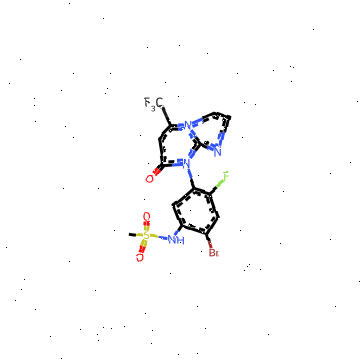 CS(=O)(=O)Nc1cc(-n2c(=O)cc(C(F)(F)F)n3ccnc23)c(F)cc1Br